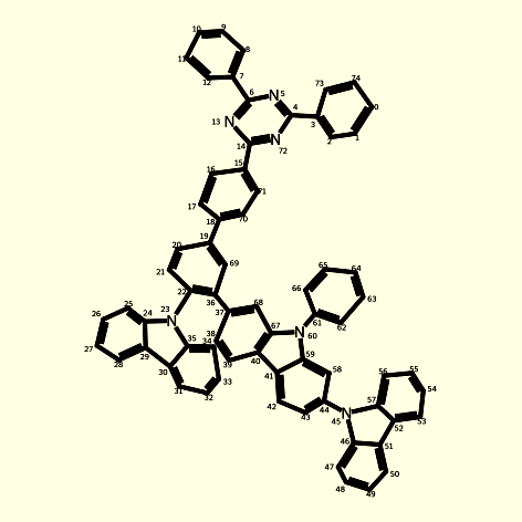 c1ccc(-c2nc(-c3ccccc3)nc(-c3ccc(-c4ccc(-n5c6ccccc6c6ccccc65)c(-c5ccc6c7ccc(-n8c9ccccc9c9ccccc98)cc7n(-c7ccccc7)c6c5)c4)cc3)n2)cc1